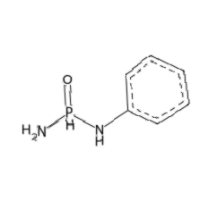 N[PH](=O)Nc1ccccc1